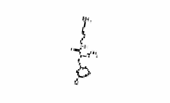 CO[C@@H](Cc1cccc(Cl)c1)C(=O)NC/C=C/CN